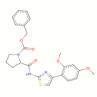 COc1ccc(-c2csc(NC(=O)C3CCCN3C(=O)OCc3ccccc3)n2)c(OC)c1